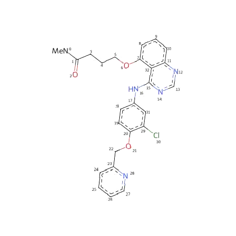 CNC(=O)CCCOc1cccc2ncnc(Nc3ccc(OCc4ccccn4)c(Cl)c3)c12